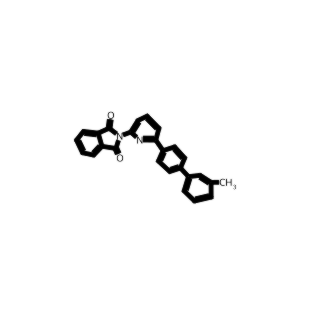 Cc1cccc(-c2ccc(-c3cccc(N4C(=O)c5ccccc5C4=O)n3)cc2)c1